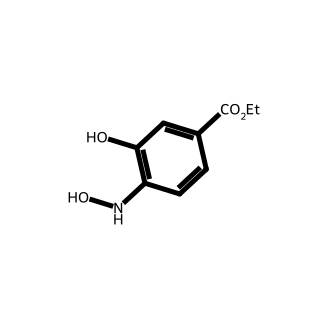 CCOC(=O)c1ccc(NO)c(O)c1